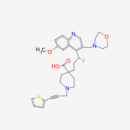 COc1ccc2ncc(CN3CCOCC3)c(C(F)CCC3(C(=O)O)CCN(CC#Cc4cccs4)CC3)c2c1